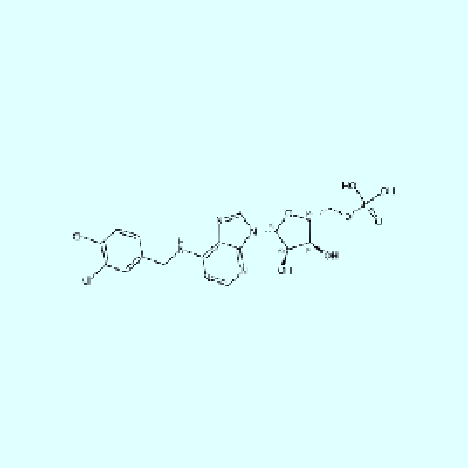 O=P(O)(O)OC[C@H]1O[C@@H](n2cnc3c(NCc4ccc(Cl)c(Cl)c4)ncnc32)[C@H](O)[C@@H]1O